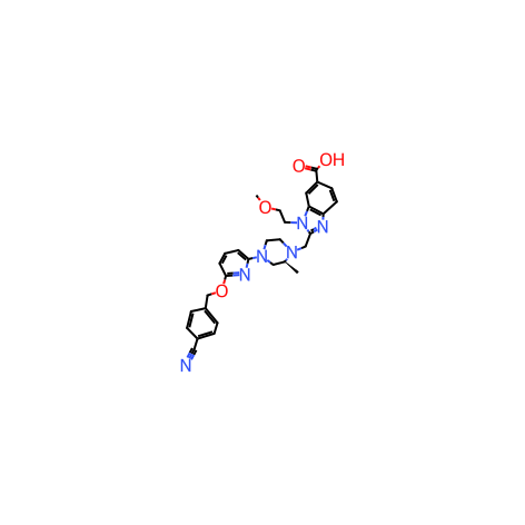 COCCn1c(CN2CCN(c3cccc(OCc4ccc(C#N)cc4)n3)C[C@@H]2C)nc2ccc(C(=O)O)cc21